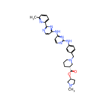 Cc1cccc(-c2nccc(Nc3ccnc(Nc4ccc(CN5CCC[C@@H](C(=O)O[C@H]6CCN(C)C6)C5)cc4)n3)n2)n1